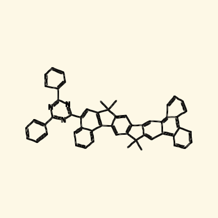 CC1(C)c2cc3c(cc2-c2cc4c5ccccc5c5ccccc5c4cc21)C(C)(C)c1cc(-c2nc(-c4ccccc4)nc(-c4ccccc4)n2)c2ccccc2c1-3